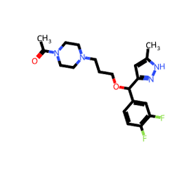 CC(=O)N1CCN(CCCOC(c2ccc(F)c(F)c2)c2cc(C)[nH]n2)CC1